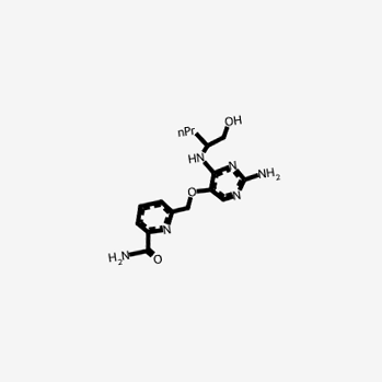 CCCC(CO)Nc1nc(N)ncc1OCc1cccc(C(N)=O)n1